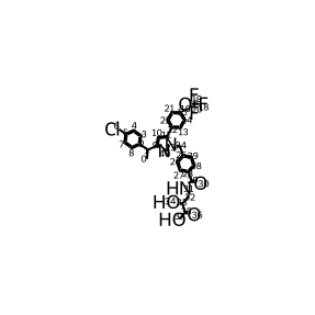 CC(c1ccc(Cl)cc1)c1cc(-c2ccc(OC(F)(F)F)cc2)n(Cc2ccc(C(=O)NCC(O)C(=O)O)cc2)n1